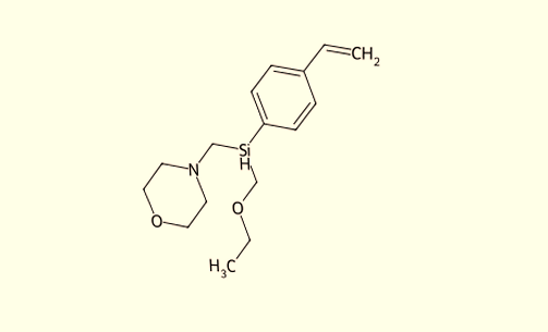 C=Cc1ccc([SiH](COCC)CN2CCOCC2)cc1